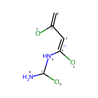 C=C(Cl)/C=C(/Cl)NC(N)Cl